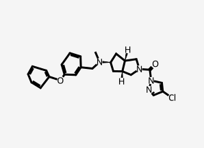 CN(Cc1cccc(Oc2ccccc2)c1)[C@H]1C[C@@H]2CN(C(=O)n3cc(Cl)cn3)C[C@@H]2C1